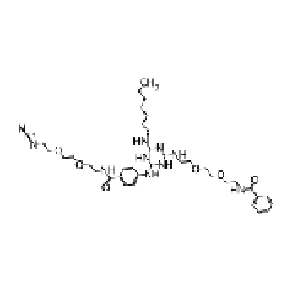 CCCCCCCNC1N=C(NCCOCCOCCNC(=O)c2ccccc2)NC(Nc2ccc(C(=O)NCCOCCOCCN=[N+]=[N-])cc2)N1